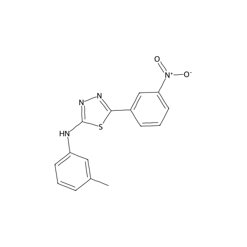 Cc1cccc(Nc2nnc(-c3cccc([N+](=O)[O-])c3)s2)c1